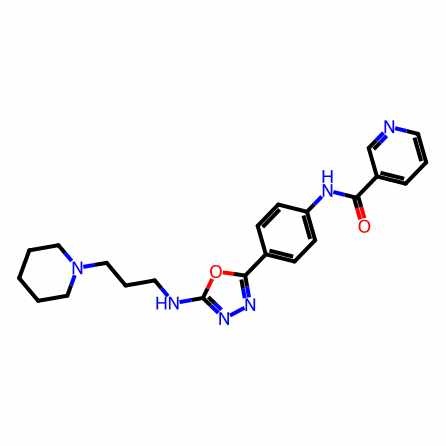 O=C(Nc1ccc(-c2nnc(NCCCN3CCCCC3)o2)cc1)c1cccnc1